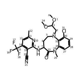 COC(CN1CCC(Nc2nc(C)cc(C(F)(F)F)c2C#N)C(=O)N(C)c2cccc(Cl)c21)OC